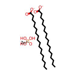 CCCCCCCCCCCCCCCCCC(=O)[O-].CCCCCCCCCCCCCCCCCC(=O)[O-].O=P(O)(O)O.[Zn+2]